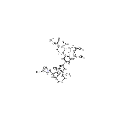 C[C@H](Oc1cc(N2CCN(C(=O)OC(C)(C)C)C3(CC3)C2)nc(-c2cc([C@@]3(C)CCCc4sc(/N=C/N(C)C)c(C#N)c43)on2)n1)[C@@H]1CCCN1C